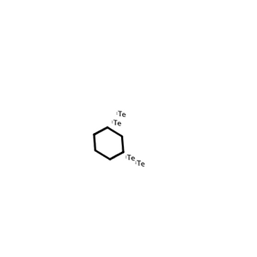 C1CCCCC1.[Te].[Te].[Te].[Te]